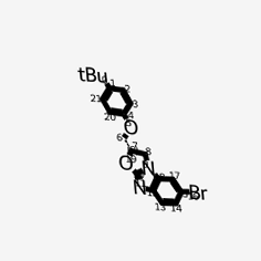 CC(C)(C)c1ccc(OC[C@@H]2Cn3c(nc4ccc(Br)cc43)O2)cc1